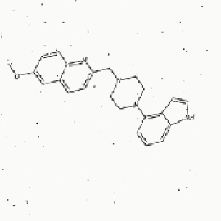 COc1ccc2nc(CN3CCN(c4cccc5[nH]ccc45)CC3)ccc2c1